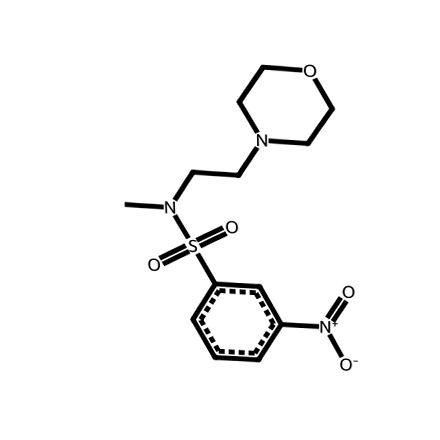 CN(CCN1CCOCC1)S(=O)(=O)c1cccc([N+](=O)[O-])c1